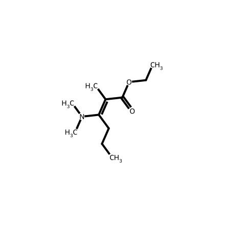 CCCC(=C(C)C(=O)OCC)N(C)C